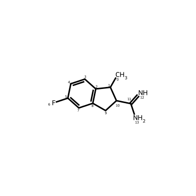 CC1c2ccc(F)cc2CC1C(=N)N